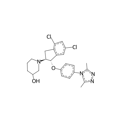 Cc1nnc(C)n1-c1ccc(O[C@H]2c3cc(Cl)cc(Cl)c3C[C@@H]2N2CCCC(O)C2)cc1